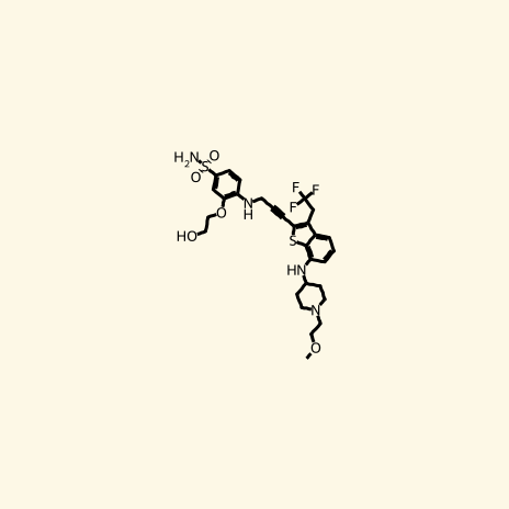 COCCN1CCC(Nc2cccc3c(CC(F)(F)F)c(C#CCNc4ccc(S(N)(=O)=O)cc4OCCO)sc23)CC1